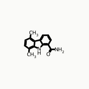 Cc1ccc(C)c2c1[nH]c1c(C(N)=O)cccc12